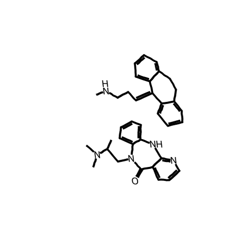 CC(CN1C(=O)c2cccnc2Nc2ccccc21)N(C)C.CNCCC=C1c2ccccc2CCc2ccccc21